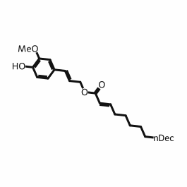 CCCCCCCCCCCCCCCC=CC(=O)OC/C=C/c1ccc(O)c(OC)c1